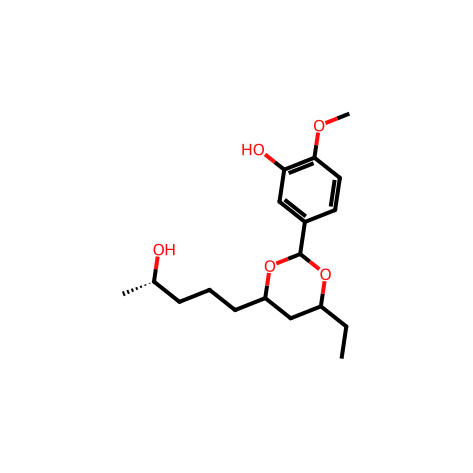 CCC1CC(CCC[C@H](C)O)OC(c2ccc(OC)c(O)c2)O1